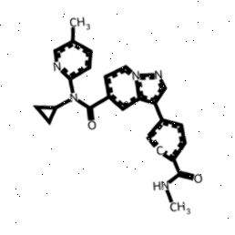 CNC(=O)c1ccc(-c2cnn3ccc(C(=O)N(c4ccc(C)cn4)C4CC4)cc23)cc1